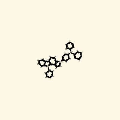 c1ccc(N(c2ccccc2)c2ccc(-n3ccc4c3ccc3c5ccccc5n(-c5ccccc5)c34)cc2)cc1